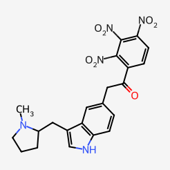 CN1CCCC1Cc1c[nH]c2ccc(CC(=O)c3ccc([N+](=O)[O-])c([N+](=O)[O-])c3[N+](=O)[O-])cc12